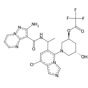 CC(NC(=O)c1c(N)nn2cccnc12)c1cc(Cl)c2cncn2c1N1C[C@@H](O)C[C@H](OC(=O)C(F)(F)F)C1